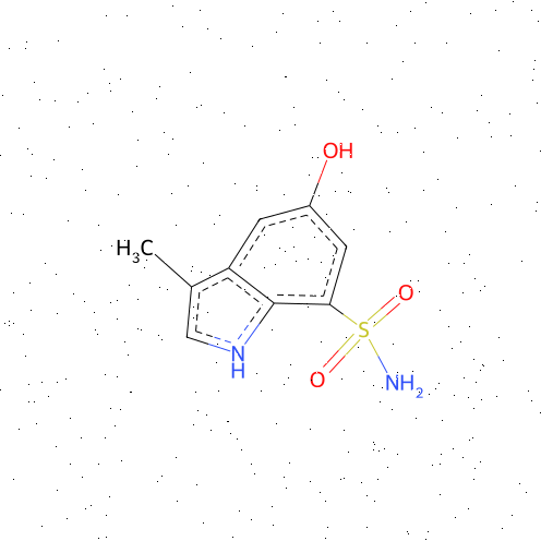 Cc1c[nH]c2c(S(N)(=O)=O)cc(O)cc12